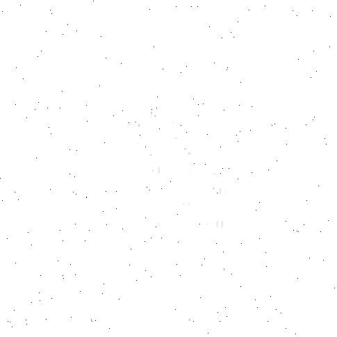 O=C(O)NC1CCN(c2cn[nH]c(=O)c2Cl)C1